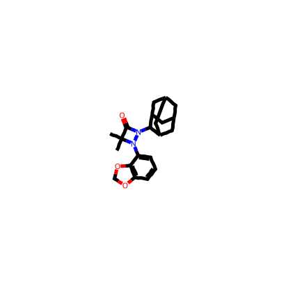 CC1(C)C(=O)N(C2C3CC4CC(C3)CC2C4)N1c1cccc2c1OCO2